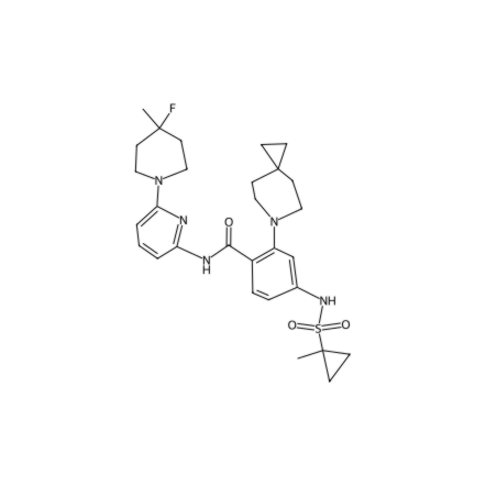 CC1(F)CCN(c2cccc(NC(=O)c3ccc(NS(=O)(=O)C4(C)CC4)cc3N3CCC4(CC3)CC4)n2)CC1